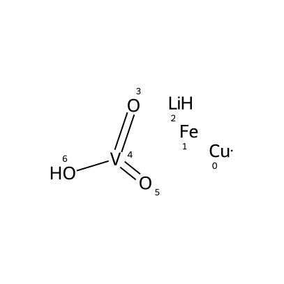 [Cu].[Fe].[LiH].[O]=[V](=[O])[OH]